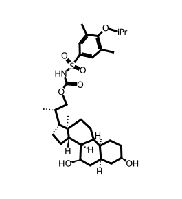 Cc1cc(S(=O)(=O)NC(=O)OC[C@@H](C)[C@H]2CC[C@H]3[C@@H]4[C@H](O)C[C@@H]5C[C@H](O)CC[C@]5(C)[C@H]4CC[C@]23C)cc(C)c1OC(C)C